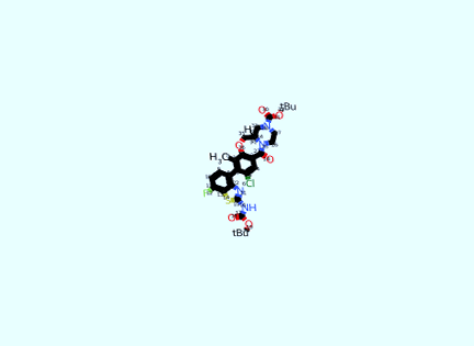 Cc1c2c(cc(Cl)c1-c1ccc(F)c3sc(NC(=O)OC(C)(C)C)nc13)C(=O)N1CCN(C(=O)OC(C)(C)C)C[C@@H]1CO2